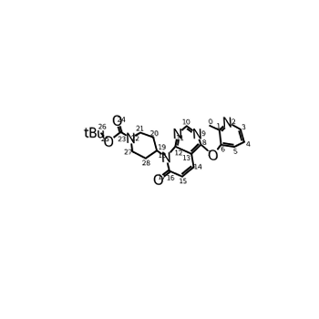 Cc1ncccc1Oc1ncnc2c1ccc(=O)n2C1CCN(C(=O)OC(C)(C)C)CC1